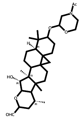 CC(=O)N1CCOC(OC2CCC34CC35CCC3(C)C6C(OC(C=O)C[C@H]6C)[C@H](O)[C@@]3(C)C5CC[C@H]4C2(C)C)C1